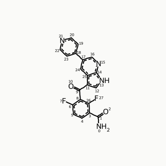 NC(=O)c1ccc(F)c(C(=O)c2c[nH]c3ncc(-c4ccncc4)cc23)c1F